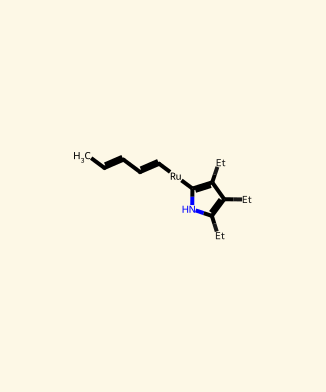 CC=CC=[CH][Ru][c]1[nH]c(CC)c(CC)c1CC